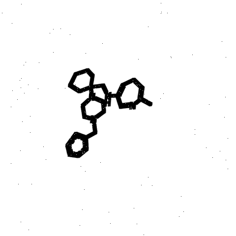 CC1=CCC=C(NCC2(N3CCN(Cc4ccccc4)CC3)CCCCC2)C=N1